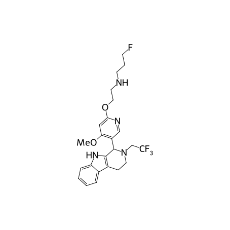 COc1cc(OCCNCCCF)ncc1C1c2[nH]c3ccccc3c2CCN1CC(F)(F)F